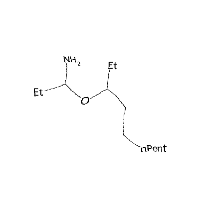 CCCCCCCC(CC)OC(N)CC